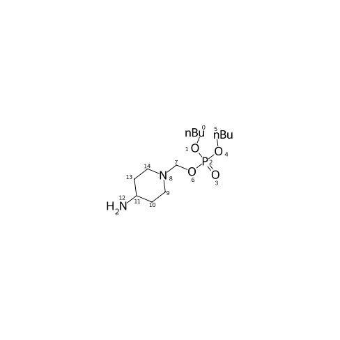 CCCCOP(=O)(OCCCC)OCN1CCC(N)CC1